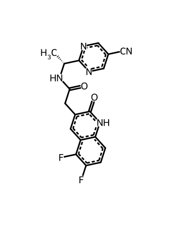 C[C@@H](NC(=O)Cc1cc2c(F)c(F)ccc2[nH]c1=O)c1ncc(C#N)cn1